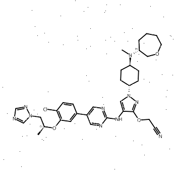 C[C@@H](Cn1cncn1)Oc1cc(-c2cnc(Nc3cn([C@H]4CC[C@H](N(C)[C@@H]5CCCCOC5)CC4)nc3OCC#N)nc2)ccc1Cl